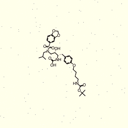 CC(C)CN(C[C@H](O)[C@H](Cc1ccc(OCCCCNC(=O)OC(C)(C)C)cc1)NC(=O)O)S(=O)(=O)c1ccc2c(c1)OCO2